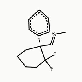 C/N=C/[C@]1(c2ccccc2)CCCCC1(F)F